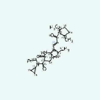 Cc1nn2c(c1/C=C/C(=O)N1[C@@H](C)CC[C@@H]1C)NC(=O)C(C(=O)N(CC(C)C)C1CC1)C2